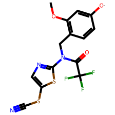 COc1cc([O])ccc1CN(C(=O)C(F)(F)F)c1ncc(SC#N)s1